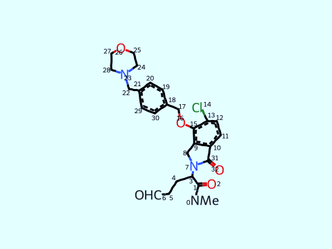 CNC(=O)C(CCC=O)N1Cc2c(ccc(Cl)c2OCc2ccc(CN3CCOCC3)cc2)C1=O